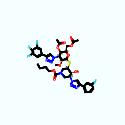 CCCCOC(=O)N1C[C@@H](S[C@@H]2O[C@H](COC(C)=O)[C@H](OC(C)=O)[C@H](n3cc(-c4cc(F)c(F)c(F)c4)nn3)[C@H]2OC)[C@H](O)[C@@H](n2cc(-c3cccc(F)c3)nn2)C1